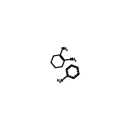 NC1=C(N)CCCC1.Nc1ccccc1